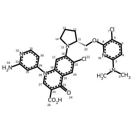 CN(C)c1ccc(Cl)c(OC[C@H]2CCCN2c2cc3c(cc2Cl)c(=O)c(C(=O)O)cn3-c2ccnc(N)c2)n1